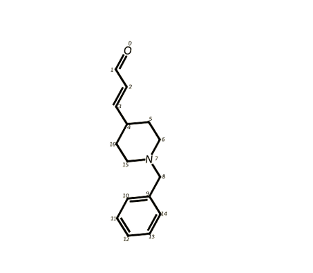 O=C/C=C/C1CCN(Cc2ccccc2)CC1